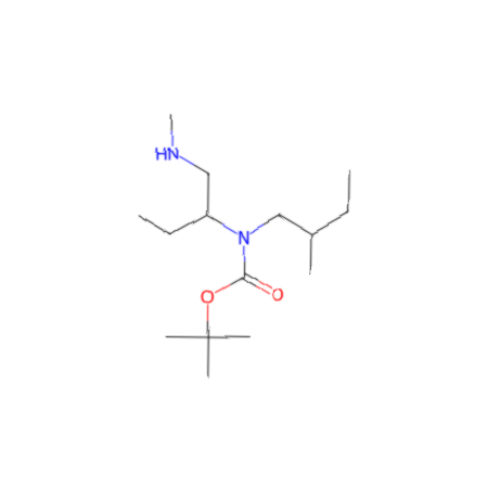 CCC(C)CN(C(=O)OC(C)(C)C)C(CC)CNC